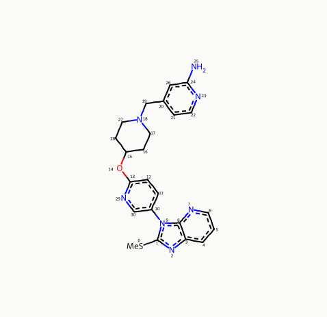 CSc1nc2cccnc2n1-c1ccc(OC2CCN(Cc3ccnc(N)c3)CC2)nc1